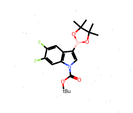 CC(C)(C)OC(=O)n1cc(B2OC(C)(C)C(C)(C)O2)c2cc(F)c(F)cc21